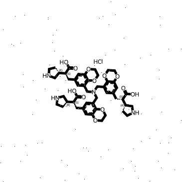 Cl.O=C(O)[C@@H](Cc1cc(CN(Cc2cc(C[C@H](C(=O)O)[C@H]3CCNC3)cc3c2OCCO3)Cc2cc(C[C@H](C(=O)O)[C@H]3CCNC3)cc3c2OCCO3)c2c(c1)OCCO2)[C@H]1CCNC1